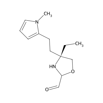 CC[C@@]1(CCc2cccn2C)COC(C=O)N1